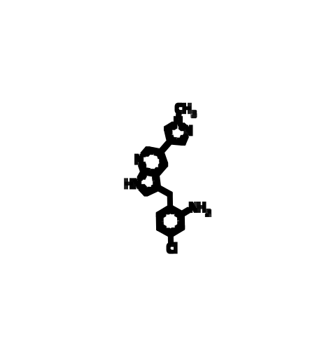 Cn1cc(-c2cnc3[nH]cc(Cc4ccc(Cl)cc4N)c3c2)cn1